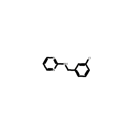 Clc1cccc(CNc2nc[c]cn2)c1